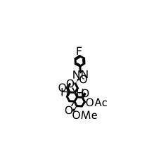 COC(=O)[C@@H]1C[C@H](OC(C)=O)C(=O)[C@@H]2[C@@]3(C)C[C@@H](c4nc(-c5ccc(F)cc5)no4)OC(=O)[C@H]3CC[C@]21C